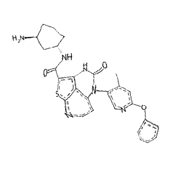 Cc1cc(Oc2ccccc2)ncc1N1C(=O)Nc2c(C(=O)N[C@H]3CCC[C@H](N)C3)sc3nccc1c23